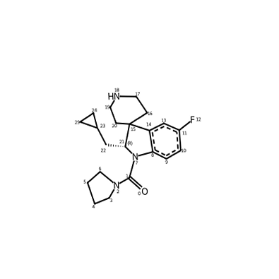 O=C(N1CCCC1)N1c2ccc(F)cc2C2(CCNCC2)[C@H]1CC1CC1